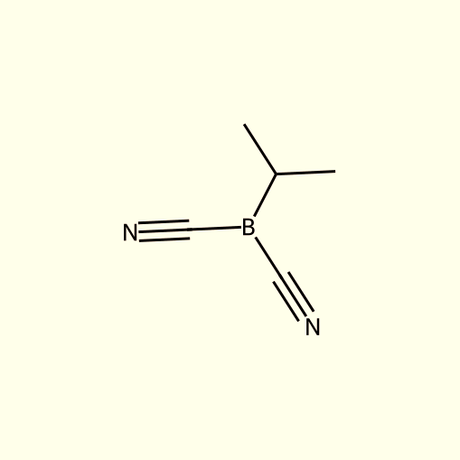 CC(C)B(C#N)C#N